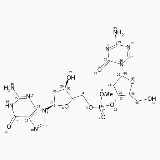 COP(=O)(OCC1O[C@@H](n2cnc3c(=O)[nH]c(N)nc32)C[C@H]1O)O[C@@H]1C[C@H](n2cnc(N)nc2=O)OC1CO